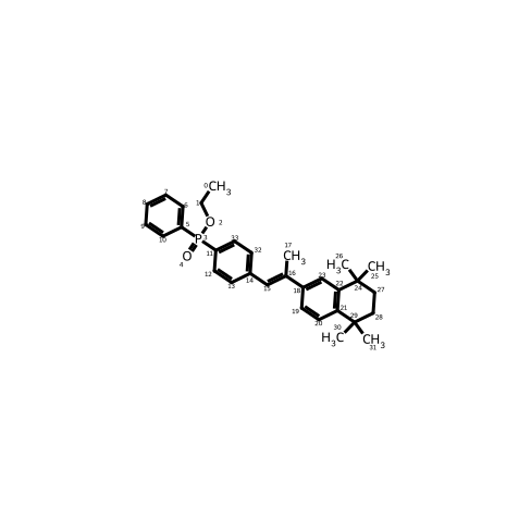 CCOP(=O)(c1ccccc1)c1ccc(/C=C(\C)c2ccc3c(c2)C(C)(C)CCC3(C)C)cc1